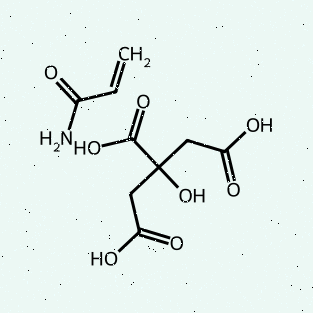 C=CC(N)=O.O=C(O)CC(O)(CC(=O)O)C(=O)O